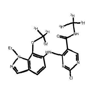 [2H]C([2H])([2H])NC(=O)c1cnc(Cl)nc1Nc1ccc2cnn(CC)c2c1OC([2H])([2H])[2H]